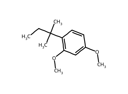 CCC(C)(C)c1ccc(OC)cc1OC